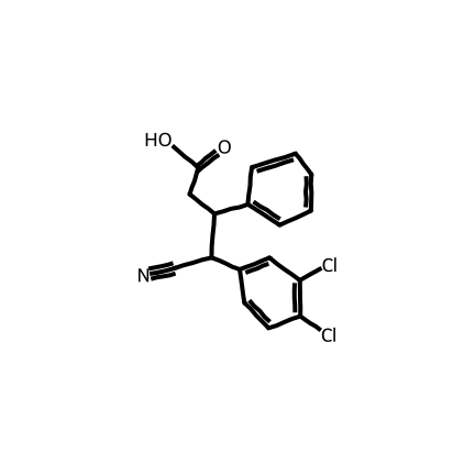 N#CC(c1ccc(Cl)c(Cl)c1)C(CC(=O)O)c1ccccc1